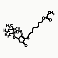 CC(=O)OCCCCCCSC1=CC(O[Si](C)(C)C(C)(C)C)CC1=O